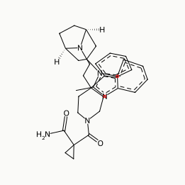 Cc1nc2ccccc2n1C1C[C@H]2CC[C@@H](C1)N2CCC1(c2ccccc2)CCN(C(=O)C2(C(N)=O)CC2)CC1